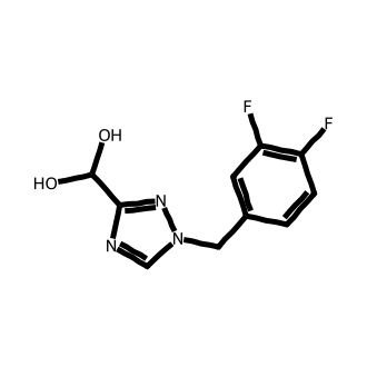 OC(O)c1ncn(Cc2ccc(F)c(F)c2)n1